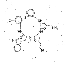 CN1C(=O)C(CCCCN)NC(=O)C(CCCN)NCc2cccnc2Sc2ccc(Cl)cc2CNC(=O)C1Cc1c[nH]c2ccccc12